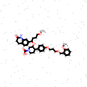 COCCCC(OC1CN(C(=O)O)CCC1c1ccc(OCCCOCc2ccccc2OC)cc1)c1ccc2c(c1)NC(=O)CC2